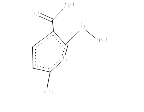 Cc1ccc(C(N)=O)c(NC(C)(C)C)n1